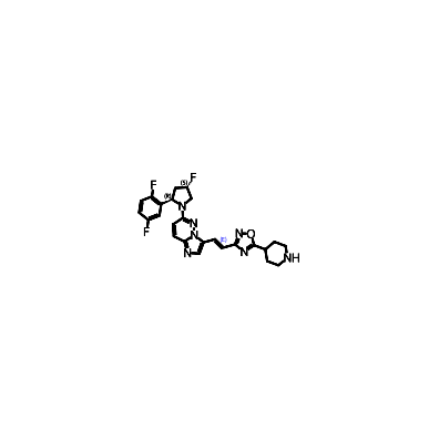 Fc1ccc(F)c([C@H]2C[C@H](F)CN2c2ccc3ncc(/C=C/c4noc(C5CCNCC5)n4)n3n2)c1